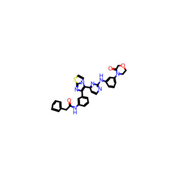 O=C(Cc1ccccc1)Nc1cccc(-c2nc3sccn3c2-c2ccnc(Nc3cccc(N4CCOCC4=O)c3)n2)c1